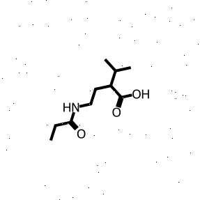 CCC(=O)NCCC(C(=O)O)C(C)C